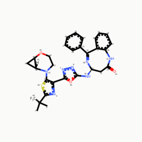 CC(C)(c1nc(-c2nnc(N[C@@H]3CC(=O)Nc4ccccc4/C(c4ccccc4)=N\3)o2)c(N2CCOC3C[C@H]32)s1)C(F)(F)F